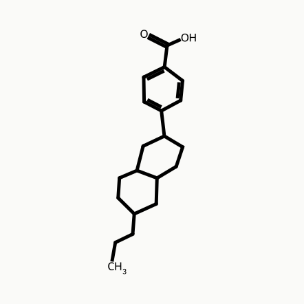 CCCC1CCC2CC(c3ccc(C(=O)O)cc3)CCC2C1